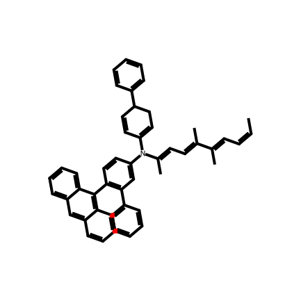 C\C=C/C=C(C)/C(C)=C/C=C(\C)N(C1=CCC(c2ccccc2)C=C1)c1ccc(-c2c3ccccc3cc3ccccc23)c(-c2ccccc2)c1